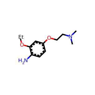 CCOc1cc(OCCN(C)C)ccc1N